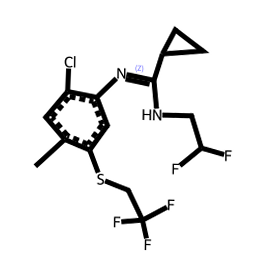 Cc1cc(Cl)c(/N=C(\NCC(F)F)C2CC2)cc1SCC(F)(F)F